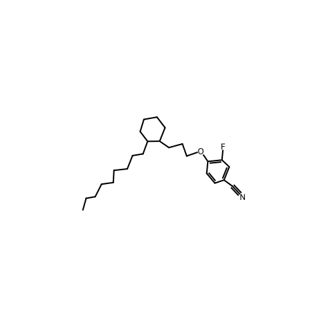 CCCCCCCCCC1CCCCC1CCCOc1ccc(C#N)cc1F